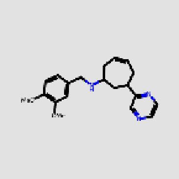 COc1ccc(CNC2CC=CCC(c3cnccn3)C2)cc1OC